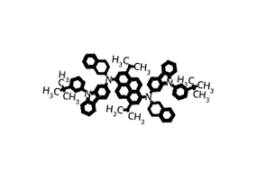 CC(C)c1cc(N(c2ccc3c4ccccc4n(-c4cccc(C(C)(C)C)c4)c3c2)C2CCc3ccccc3C2)c2ccc3c(C(C)C)cc(N(c4ccc5c6ccccc6n(-c6cccc(C(C)(C)C)c6)c5c4)C4CCc5ccccc5C4)c4ccc1c2c34